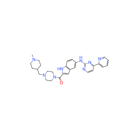 CN1CCC(CN2CCN(C(=O)c3cc4cc(Nc5nccc(-c6ccccn6)n5)ccc4[nH]3)CC2)CC1